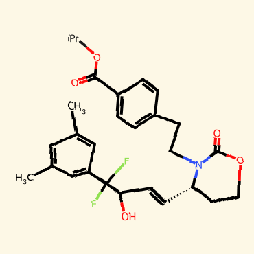 Cc1cc(C)cc(C(F)(F)C(O)C=C[C@H]2CCOC(=O)N2CCc2ccc(C(=O)OC(C)C)cc2)c1